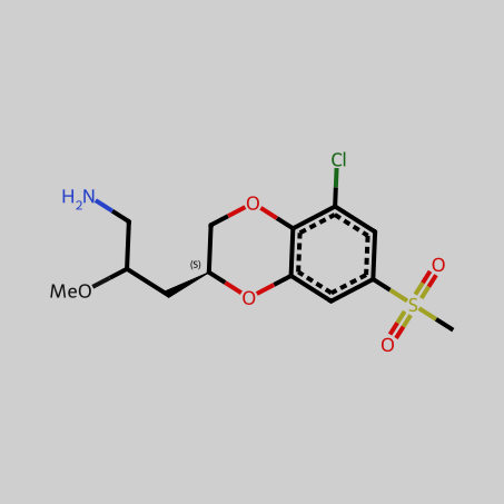 COC(CN)C[C@H]1COc2c(Cl)cc(S(C)(=O)=O)cc2O1